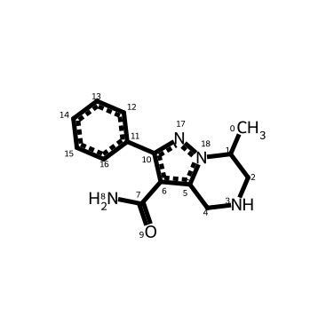 CC1CNCc2c(C(N)=O)c(-c3ccccc3)nn21